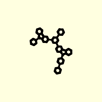 c1ccc(-c2ccc(-n3c4ccccc4c4cc(-c5cc(-c6ccccc6)cc(-c6ccc7c(c6)c6ccccc6n7-c6ccccc6)c5)ccc43)cc2)cc1